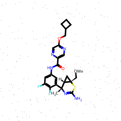 COC[C@]12C[C@H]1[C@@](C)(c1cc(NC(=O)c3cnc(OCC4CCC4)cn3)cc(F)c1F)N=C(N)S2